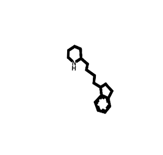 c1ccc2c(c1)CCC2CCCCC1CCCCN1